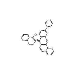 O=P12c3ccc4ccccc4c3Oc3cc(-c4ccccc4)cc(c31)Oc1c2ccc2ccccc12